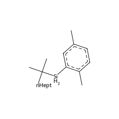 CCCCCCCC(C)(C)[SiH2]c1cc(C)ccc1C